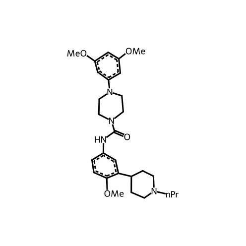 CCCN1CCC(c2cc(NC(=O)N3CCN(c4cc(OC)cc(OC)c4)CC3)ccc2OC)CC1